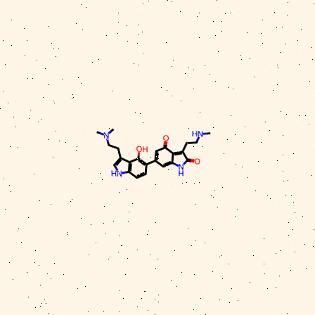 CNCCC1=C2C(=O)C=C(c3ccc4[nH]cc(CCN(C)C)c4c3O)C=C2NC1=O